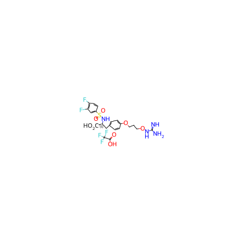 N=C(N)NOCCCOc1ccc(C[C@H](NS(=O)(=O)c2ccc(F)c(F)c2)C(=O)O)cc1.O=C(O)C(F)(F)F